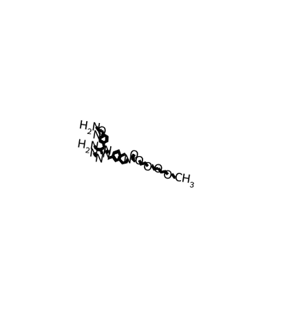 CCCOCCOCCOCCOCC(=O)N1CCc2cc(Cn3nc(-c4ccc5oc(N)nc5c4)c4c(N)ncnc43)ccc2C1